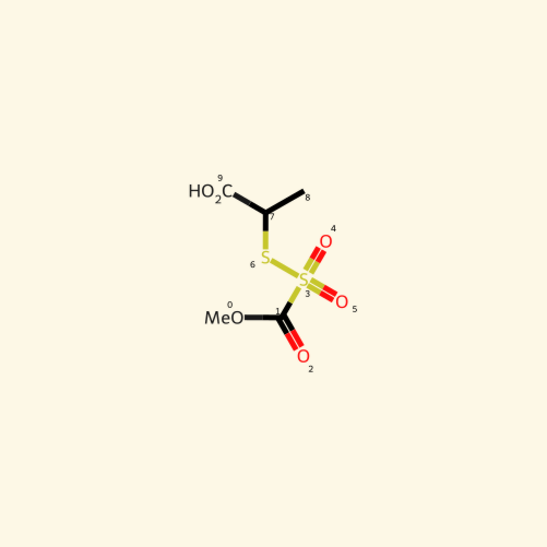 COC(=O)S(=O)(=O)SC(C)C(=O)O